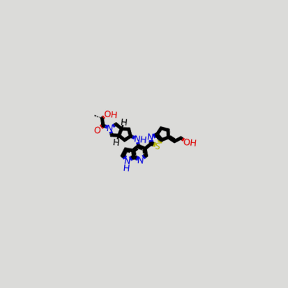 C[C@H](O)C(=O)N1C[C@H]2CC(Nc3c(-c4nc5c(s4)/C(=C/CO)CC5)cnc4[nH]ccc34)C[C@H]2C1